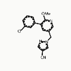 COc1ncc(Cn2cc(C#N)cn2)cc1-c1cccc(Cl)c1